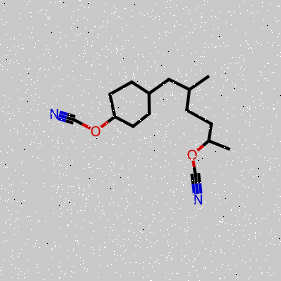 CC(CCC(C)OC#N)CC1CCC(OC#N)CC1